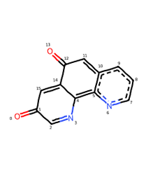 O=C1C=NC2=c3ncccc3=CC(=O)C2=C1